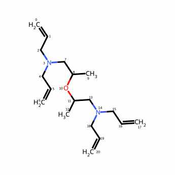 C=CCN(CC=C)CC(C)OC(C)CN(CC=C)CC=C